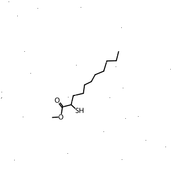 CCCCCCCCCC(S)C(=O)OC